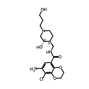 Nc1cc(C(=O)NC[C@@H]2CCN(CCCO)C[C@H]2O)c2c(c1Cl)OCCO2